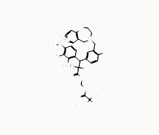 Cc1ccc(C(c2ccc(N(C)N)c(N)c2C)C(C)(C)C(=O)OCOC(=O)C(C)(C)C)cc1CN1CCOc2ccncc2C1